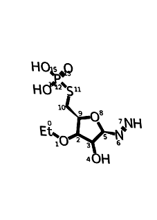 CCOC1C(O)[C@H](N=N)O[C@@H]1CSP(=O)(O)O